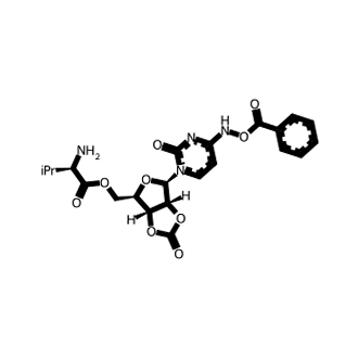 CC(C)[C@@H](N)C(=O)OC[C@H]1O[C@@H](n2ccc(NOC(=O)c3ccccc3)nc2=O)[C@@H]2OC(=O)O[C@@H]21